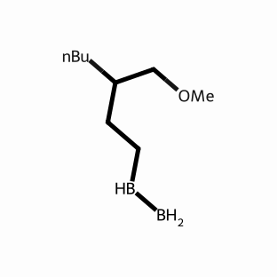 BBCCC(CCCC)COC